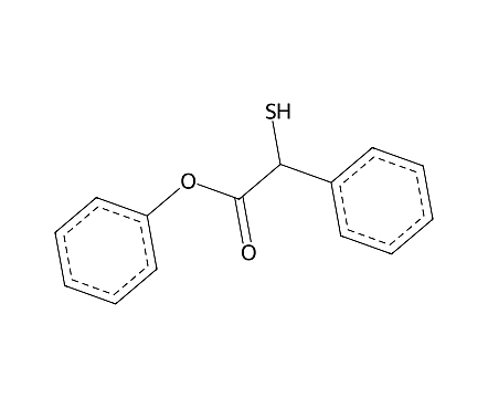 O=C(Oc1ccccc1)C(S)c1ccccc1